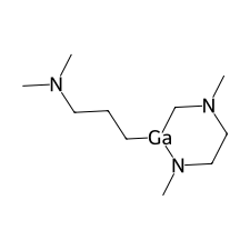 CN(C)CC[CH2][Ga]1[CH2]N(C)CC[N]1C